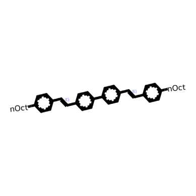 CCCCCCCCc1ccc(/C=C/c2ccc(-c3ccc(/C=C/c4ccc(CCCCCCCC)cc4)cc3)cc2)cc1